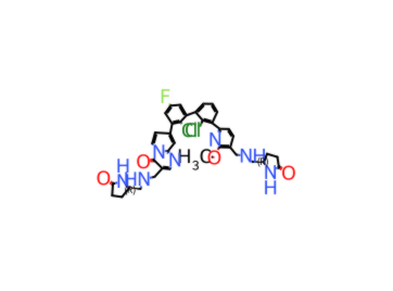 COc1nc(-c2cccc(-c3cc(F)cc(-c4ccn5c(=O)c(CNC[C@H]6CCC(=O)N6)cnc5c4)c3Cl)c2Cl)ccc1CNC[C@H]1CCC(=O)N1